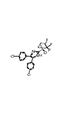 O=S(=O)(c1nc(-c2ccc(Cl)cc2)c(-c2ccc(Cl)cc2)[nH]1)C(F)(F)C(F)F